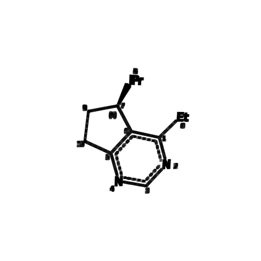 CCc1ncnc2c1[C@H](C(C)C)CC2